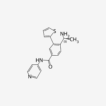 C[C@H](N)c1ccc(C(=O)Nc2ccncc2)cc1-c1cccs1